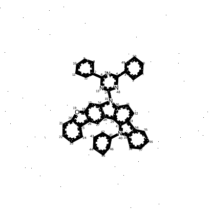 c1ccc(-c2nc(-c3ccccc3)nc(-n3c4cc5oc6ccccc6c5cc4c4c3ccc3c5ccccc5n(-c5ccccc5)c34)n2)cc1